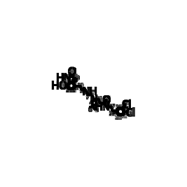 CC(C)(C)CN(CCNCCc1ccc(O)c2[nH]c(=O)sc12)CCC(=O)NCCc1ccc(Cl)c(Cl)c1